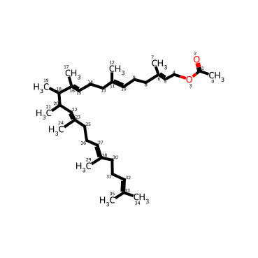 CC(=O)OC/C=C(\C)CC/C=C(\C)CC/C=C(\C)C(C)C(C)/C=C(\C)CC/C=C(\C)CCC=C(C)C